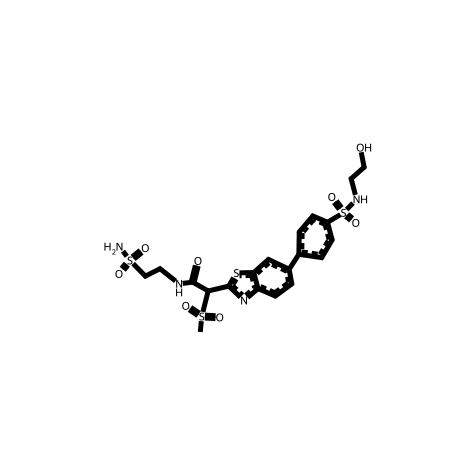 CS(=O)(=O)C(C(=O)NCCS(N)(=O)=O)c1nc2ccc(-c3ccc(S(=O)(=O)NCCO)cc3)cc2s1